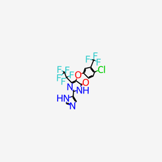 O=c1[nH]c(-c2cnc[nH]2)nc(C(F)(F)C(F)(F)F)c1Oc1ccc(Cl)c(C(F)(F)F)c1